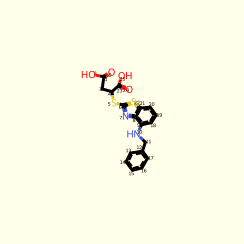 O=C(O)CC(Sc1nc2c(NCc3ccccc3)cccc2s1)C(=O)O